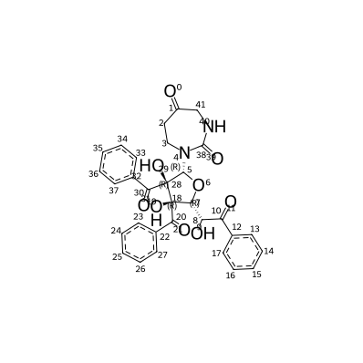 O=C1CCN([C@@H]2O[C@H](C(O)C(=O)c3ccccc3)[C@](O)(C(=O)c3ccccc3)[C@]2(O)C(=O)c2ccccc2)C(=O)NC1